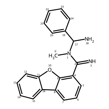 CN(C(=N)c1cccc2c1oc1ccccc12)C(N)c1ccccc1